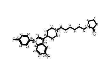 O=C1CCCN1CCCCCCN1CCC(c2cn(-c3ccc(F)cc3)c3ccc(F)cc23)CC1